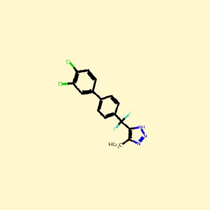 O=C(O)c1nn[nH]c1C(F)(F)c1ccc(-c2ccc(Cl)c(Cl)c2)cc1